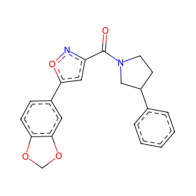 O=C(c1cc(-c2ccc3c(c2)OCO3)on1)N1CCC(c2ccccc2)C1